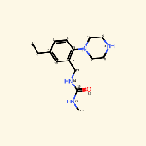 CCc1ccc(N2CCNCC2)c(CNC(=O)NC)c1